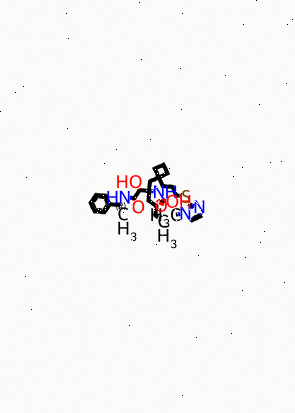 CCCCC(CC1(CCCSc2nccn2C)CCC1)(NC(=O)O)C(O)C(=O)N[C@H](C)c1ccccc1